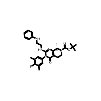 Cc1cc(-n2c(NCCNc3ccccc3)nc3c(c2=O)CCN(C(=O)OC(C)(C)C)[C@H]3C)cc(C)c1F